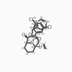 C=C[C@H]1CN(Cc2ccncn2)C(=O)C2CCC[C@@H]1N2S(=O)(=O)c1cc(Cl)cc(Cl)c1